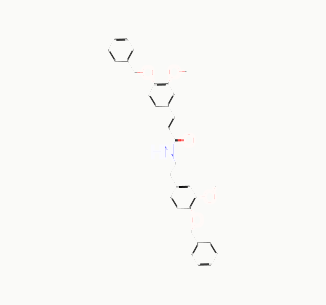 COc1cc(C=CC(=O)NCCc2ccc(OCc3ccccc3)c(OC)c2)ccc1OCc1ccccc1